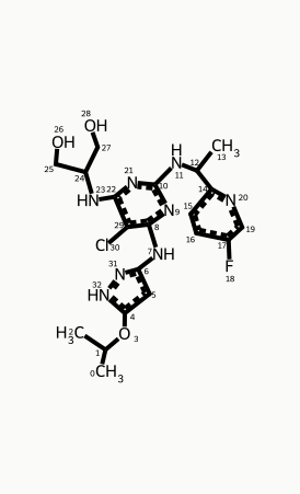 CC(C)Oc1cc(Nc2nc(NC(C)c3ccc(F)cn3)nc(NC(CO)CO)c2Cl)n[nH]1